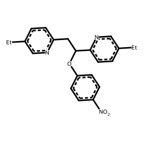 CCc1ccc(CC(Oc2ccc([N+](=O)[O-])cc2)c2ccc(CC)cn2)nc1